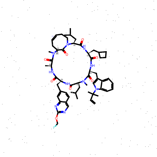 C=CC(C)(C)n1cc(C[C@@H]2NC(=O)[C@H](CC3CCC3)NC(=O)[C@H](CC(C)C)N3CC/C=C\C[C@@H](C3=O)N(C)C(=O)[C@H](C)NC(=O)[C@H](Cc3ccc4cnc(OCF)nc4c3)NC(=O)[C@H](CC(C)C)N(C)C2=O)c2ccccc21